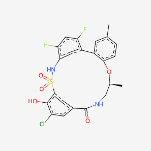 Cc1ccc2c(c1)-c1cc(c(F)cc1F)NS(=O)(=O)c1cc(cc(Cl)c1O)C(=O)NC[C@H](C)O2